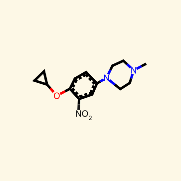 CN1CCN(c2ccc(OC3CC3)c([N+](=O)[O-])c2)CC1